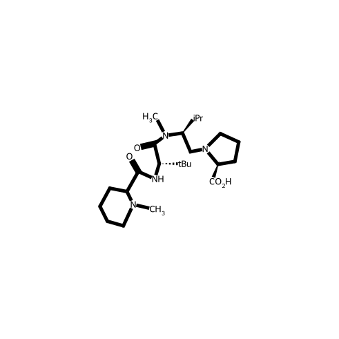 CC(C)[C@@H](CN1CCC[C@H]1C(=O)O)N(C)C(=O)[C@@H](NC(=O)C1CCCCN1C)C(C)(C)C